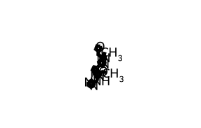 COc1nc(Nc2cnccn2)nn2ccc(-c3cnc4nc(C)n(CC5CCOC5)c4c3)c12